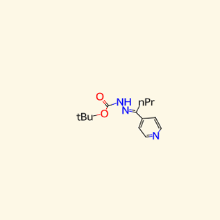 CCCC(=NNC(=O)OC(C)(C)C)c1ccncc1